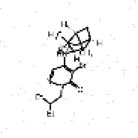 CCC(CC)Cn1ncc(N[C@@H]2C[C@@H]3C[C@H]([C@H]2C)C3(C)C)c(Br)c1=O